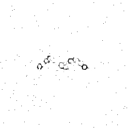 COc1ccc(CN2C(=O)COc3ccc(N4C(=O)O[C@@H]5C[C@@H](NCCn6c7nc(Oc8cccnc8)ccc7cc[12c]6=O)CC[C@@H]54)nc32)cc1